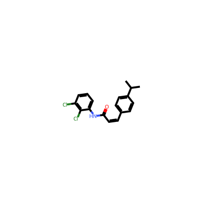 CC(C)c1ccc(/C=C\C(=O)Nc2cccc(Cl)c2Cl)cc1